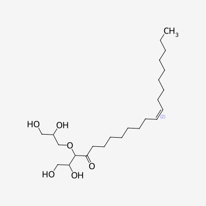 CCCCCCCC/C=C\CCCCCCCC(=O)C(OCC(O)CO)C(O)CO